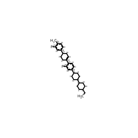 CCC1CCC(C2CCC(c3ccc(C4=CCC(c5ccc(C)c(F)c5)CC4)c(F)c3)CC2)CC1